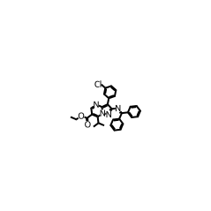 CCOC(=O)c1cnc2c(-c3cccc(Cl)c3)c(N=C(c3ccccc3)c3ccccc3)nn2c1C(C)C